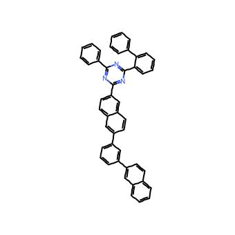 c1ccc(-c2nc(-c3ccc4cc(-c5cccc(-c6ccc7ccccc7c6)c5)ccc4c3)nc(-c3ccccc3-c3ccccc3)n2)cc1